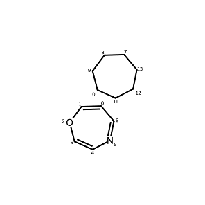 C1=COC=CN=C1.C1CCCCCC1